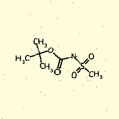 CC(C)(C)OC(=O)[N]S(C)(=O)=O